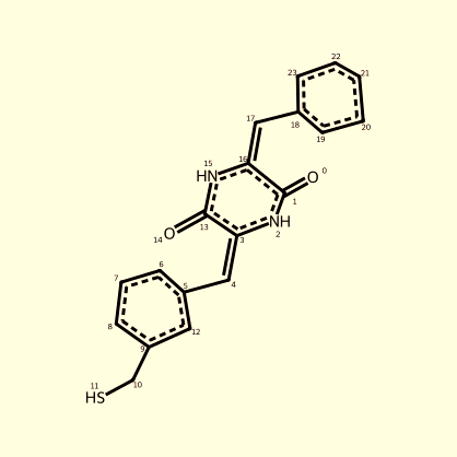 O=c1[nH]c(=Cc2cccc(CS)c2)c(=O)[nH]c1=Cc1ccccc1